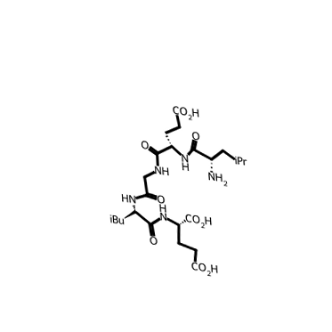 CC[C@H](C)[C@H](NC(=O)CNC(=O)[C@H](CCC(=O)O)NC(=O)[C@@H](N)CC(C)C)C(=O)N[C@@H](CCC(=O)O)C(=O)O